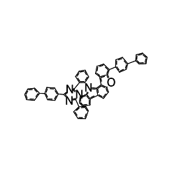 c1ccc(-c2ccc(-c3nc(-c4ccccc4)nc(-c4ccccc4-n4c5ccccc5c5ccc6oc7c(-c8ccc(-c9ccccc9)cc8)cccc7c6c54)n3)cc2)cc1